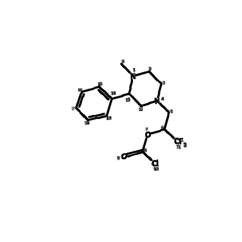 CN1CCN(CC(OC(=O)Cl)C(F)(F)F)CC1c1ccccc1